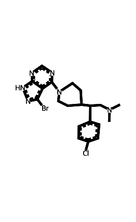 CN(C)CC(c1ccc(Cl)cc1)C1CCN(c2ncnc3[nH]nc(Br)c23)CC1